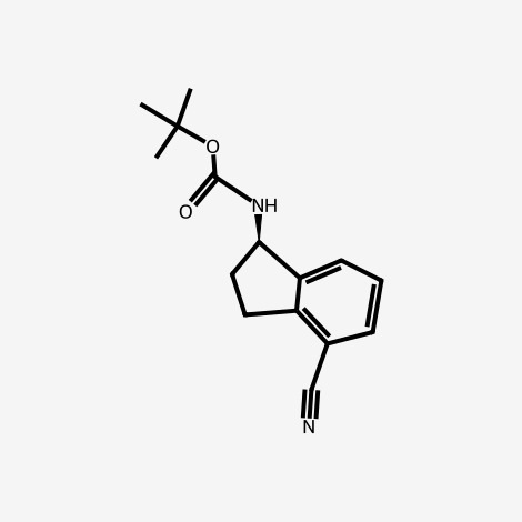 CC(C)(C)OC(=O)N[C@@H]1CCc2c(C#N)cccc21